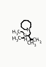 C=C(C)C(CN1CCCCCCC1)[SiH](CC)CC